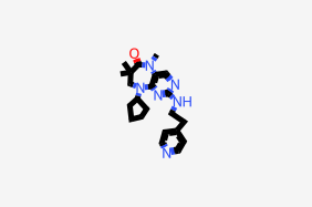 CN1C(=O)C(C)(C)CN(C2CCCC2)c2nc(NCCc3ccncc3)ncc21